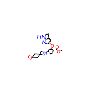 COC(=O)c1ccc(N2CC3(CC(=O)C3)C2)cc1Oc1cnc2[nH]ccc2c1